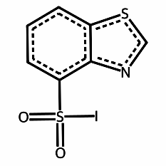 O=S(=O)(I)c1cccc2scnc12